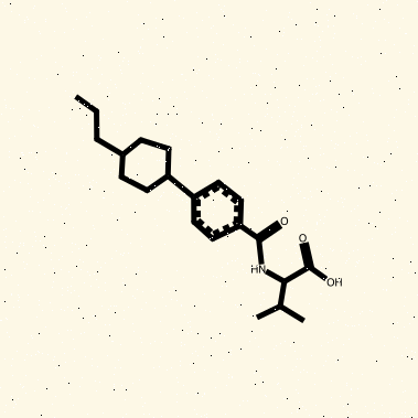 CCCC1CCC(c2ccc(C(=O)NC(C(=O)O)C(C)C)cc2)CC1